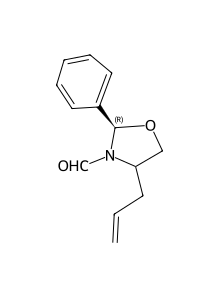 C=CCC1CO[C@H](c2ccccc2)N1C=O